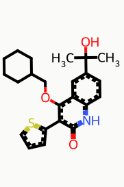 CC(C)(O)c1ccc2[nH]c(=O)c(-c3cccs3)c(OCC3CCCCC3)c2c1